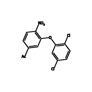 CC(=O)c1ccc([N+](=O)[O-])c(Oc2cc(Cl)ccc2Cl)c1